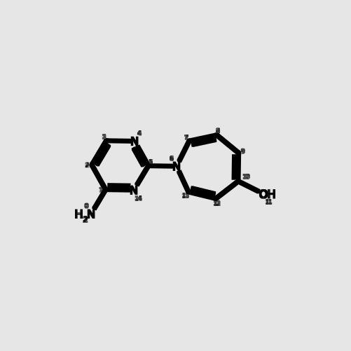 Nc1ccnc(N2C=CC=C(O)C=C2)n1